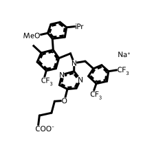 COc1ccc(C(C)C)cc1-c1c(C)cc(C(F)(F)F)cc1CN(Cc1cc(C(F)(F)F)cc(C(F)(F)F)c1)c1ncc(OCCCC(=O)[O-])cn1.[Na+]